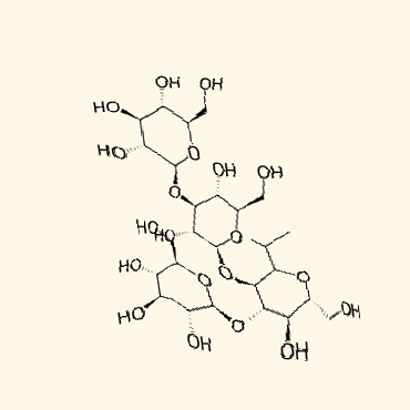 CC(C)C1O[C@H](CO)[C@@H](O)[C@H](O[C@@H]2O[C@H](CO)[C@@H](O)[C@H](O)[C@H]2O)[C@H]1O[C@@H]1O[C@H](CO)[C@@H](O)[C@H](O[C@@H]2O[C@H](CO)[C@@H](O)[C@H](O)[C@H]2O)[C@H]1O